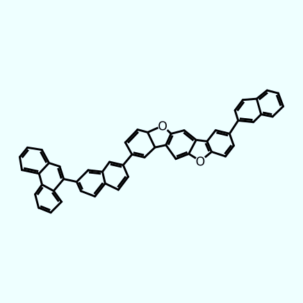 C1=CC2Oc3cc4c(cc3C2C=C1c1ccc2ccc(-c3cc5ccccc5c5ccccc35)cc2c1)oc1ccc(-c2ccc3ccccc3c2)cc14